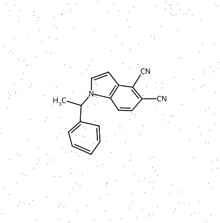 CC(c1ccccc1)n1ccc2c(C#N)c(C#N)ccc21